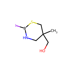 CC1(CO)CNB(I)SC1